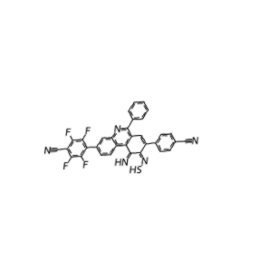 N#Cc1ccc(C2=Cc3c(-c4ccccc4)nc4cc(-c5c(F)c(F)c(C#N)c(F)c5F)ccc4c3C(=N)/C2=N\S)cc1